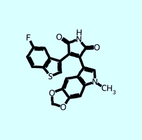 Cn1cc(C2=C(c3csc4ccc(F)cc34)C(=O)NC2=O)c2cc3c(cc21)OCO3